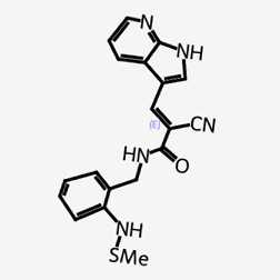 CSNc1ccccc1CNC(=O)/C(C#N)=C/c1c[nH]c2ncccc12